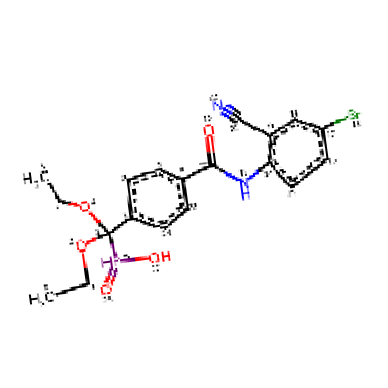 CCOC(OCC)(c1ccc(C(=O)Nc2ccc(Br)cc2C#N)cc1)[PH](=O)O